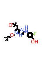 CC(C)(C=O)Cc1cn(COCC[Si](C)(C)C)c2ncc(Nc3ccc(CO)c(F)c3)nc12